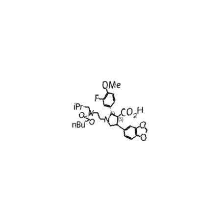 CCCCS(=O)(=O)N(CCN1CC(c2ccc3c(c2)OCO3)[C@H](C(=O)O)[C@H]1c1ccc(OC)c(F)c1)CC(C)C